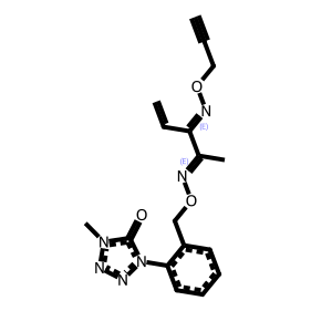 C#CCO/N=C(C=C)/C(C)=N/OCc1ccccc1-n1nnn(C)c1=O